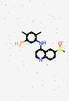 Cc1cc(C)c(Nc2ccnc3ccc([S+](C)[O-])cc23)cc1P